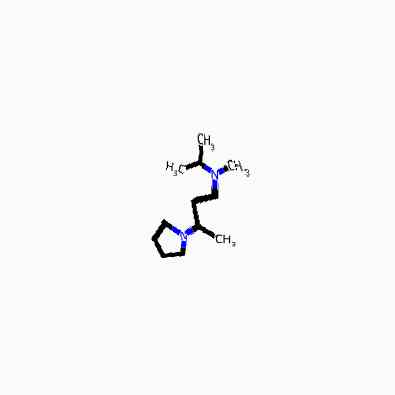 CC(C)N(C)CCC(C)N1CCCC1